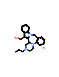 CCCN1CCN2c3ccccc3Cn3c(c(CO)c4ccccc43)C2C1.Cl